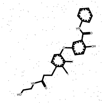 O=C(CCc1ccc(Oc2ccc(O)c(C(=O)Nc3ccccc3)c2)c(I)c1I)NCCO